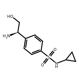 N[C@@H](CO)c1ccc(S(=O)(=O)NC2CC2)cc1